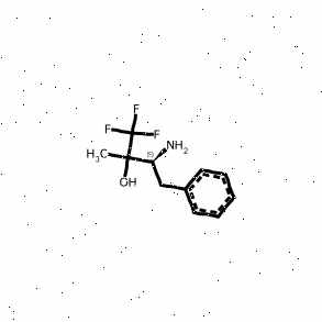 CC(O)([C@@H](N)Cc1ccccc1)C(F)(F)F